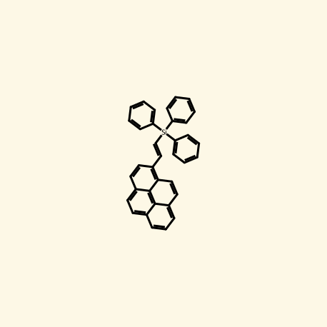 C(=C[Si](c1ccccc1)(c1ccccc1)c1ccccc1)c1ccc2ccc3cccc4ccc1c2c34